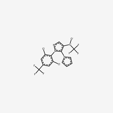 [O-][S+](c1cnn(-c2c(Cl)cc(C(F)(F)F)cc2Cl)c1-n1cccc1)C(F)(F)F